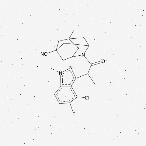 CC(C(=O)N1C2CC3(C)CC1CC(C#N)(C2)C3)c1nn(C)c2ccc(F)c(Cl)c12